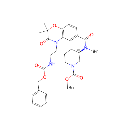 CC(C)N(C(=O)c1ccc2c(c1)N(CCNC(=O)OCc1ccccc1)C(=O)C(C)(C)O2)[C@@H]1CCCN(C(=O)OC(C)(C)C)C1